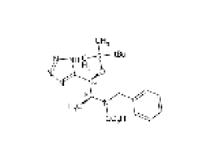 C[C@@H]([C@H](O[Si](C)(C)C(C)(C)C)c1nnn[nH]1)N(Cc1ccccc1)C(=O)O